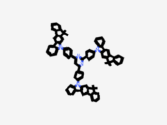 CC1(C)c2ccccc2-c2cc3c4ccccc4n(-c4ccc(-c5cc(-c6ccc(-n7c8ccccc8c8cc9c(cc87)C(C)(C)c7ccccc7-9)cc6)nc(-c6ccc(-n7c8ccccc8c8cc9c(cc87)C(C)(C)c7ccccc7-9)cc6)n5)cc4)c3cc21